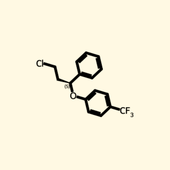 FC(F)(F)c1ccc(O[C@@H](CCCl)c2ccccc2)cc1